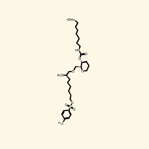 CCCCCCCCCCCCCCCCCNC(=O)O[C@@H]1CCCO[C@H]1COCC(CCCCCCOS(=O)(=O)c1ccc(C)cc1)OC(C)=O